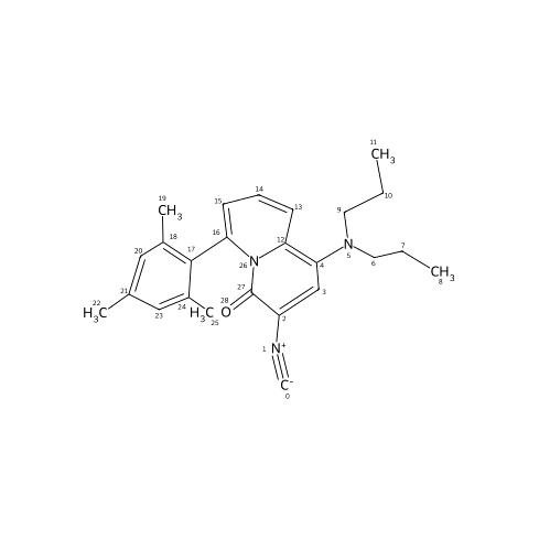 [C-]#[N+]c1cc(N(CCC)CCC)c2cccc(-c3c(C)cc(C)cc3C)n2c1=O